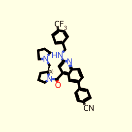 N#Cc1ccc(-c2ccc3nc(NCc4ccc(C(F)(F)F)cc4)cc(C(=O)N4CCC[C@H]4CN4CCCC4)c3c2)cc1